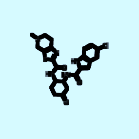 CN1CCc2nc(C(=O)NC3CCC(=O)CC3NC(=O)c3cc4cc(Cl)ccc4[nH]3)sc2C1